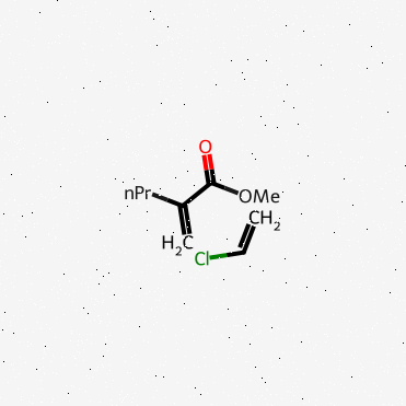 C=C(CCC)C(=O)OC.C=CCl